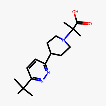 CC(C)(C)c1ccc(C2CCN(C(C)(C)C(=O)O)CC2)nn1